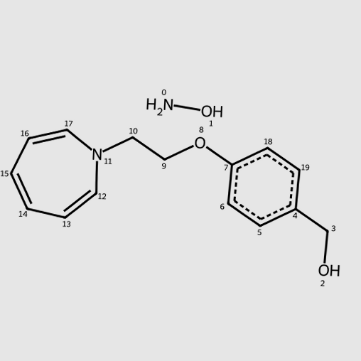 NO.OCc1ccc(OCCN2C=CC=CC=C2)cc1